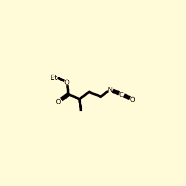 CCOC(=O)C(C)CCN=C=O